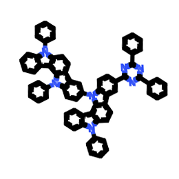 c1ccc(-c2nc(-c3ccccc3)nc(-c3ccc4c(c3)c3ccc5c(c6ccccc6n5-c5ccccc5)c3n4-c3ccc4c(c3)c3ccc5c(c6ccccc6n5-c5ccccc5)c3n4-c3ccccc3)n2)cc1